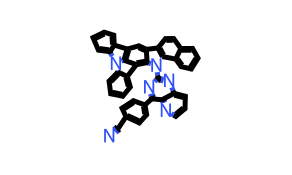 N#Cc1ccc(-c2nc(-n3c4c5ccccc5ccc4c4cc5c6ccccc6n6c7ccccc7c(c43)c56)nc3cccnc23)cc1